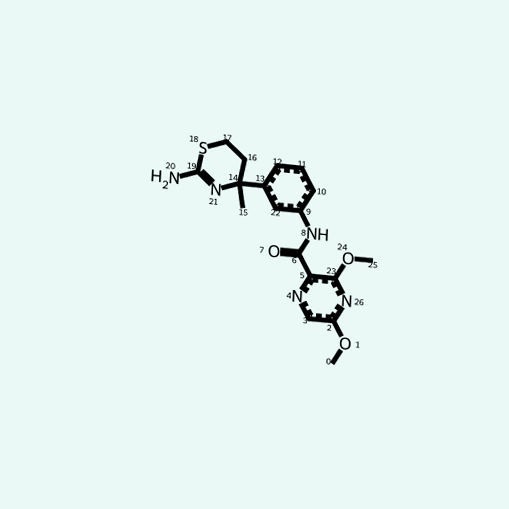 COc1cnc(C(=O)Nc2cccc(C3(C)CCSC(N)=N3)c2)c(OC)n1